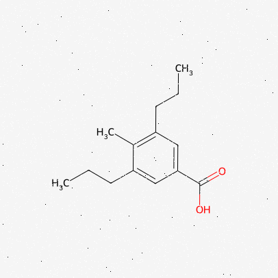 CCCc1cc(C(=O)O)cc(CCC)c1C